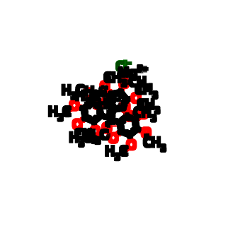 COc1c(OC)c(OC)c([Si]([O-])(c2c(OC)c(OC)c(OC)c(OC)c2OC)c2c(OC)c(OC)c(OC)c(OC)c2OC)c(OC)c1OC.[Cl-].[Mg+2]